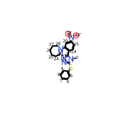 Cn1c(Sc2ccccc2)nnc1-c1ccc([N+](=O)[O-])cc1N1CCCCCC1